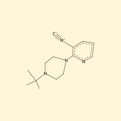 [C-]#[N+]c1cccnc1N1CCN(C(C)(C)C)CC1